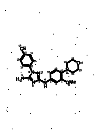 COc1cc(Nc2nc(N)n(-c3ccc(C#N)cc3)n2)ccc1N1CCOCC1